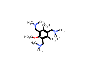 CN(C)Cc1c(OC(=O)O)c(CN(C)C)c(C(=O)O)c(CN(C)C)c1C(=O)O